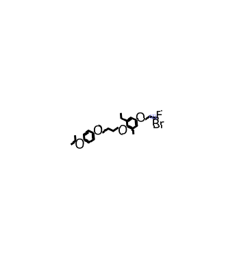 CCc1cc(OC/C=C(/F)Br)cc(C)c1OCCCCOc1ccc(OC(C)C)cc1